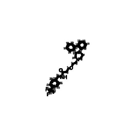 O=C(CCOCCN1CCN(c2ccccc2-c2ccccc2)CC1)NCc1ccc(C(F)(F)F)cc1